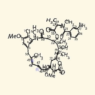 COc1cc2cc(c1Cl)N(C)C(=O)C[C@H](OC(=O)[C@H](C)N(C)C(=O)c1cccc(N)c1)C(C)[C@@H](O)[C@H](C)[C@@H]1C[C@@](O)(NC(=O)O1)[C@H](OC)/C=C/C=C(\C)C2